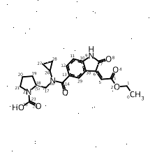 CCOC(=O)C=C1C(=O)Nc2ccc(C(=O)N(C[C@@H]3CCCN3C(=O)O)C3CC3)cc21